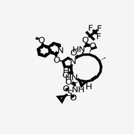 CC[C@@H]1C[C@H](C)CC/C=C\[C@@H]2C[C@@]2(C(=O)NS(=O)(=O)C2CC2)NC(=O)[C@@H]2C[C@@H](Oc3nccc4c(OC)cccc34)CN2C(=O)[C@H]1NC(=O)OC(C)(C)C(F)(F)F